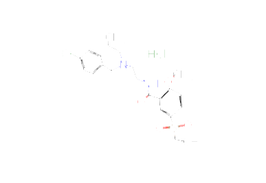 CCCN(CCNC(=O)c1cc(S(=O)(=O)CC)ccc1OC)Cc1ccc(Cl)cc1.Cl